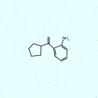 C=C(c1ccccc1N)C1CCCC1